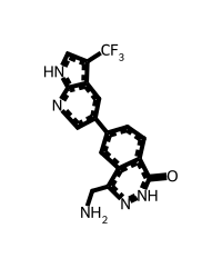 NCc1n[nH]c(=O)c2ccc(-c3cnc4[nH]cc(C(F)(F)F)c4c3)cc12